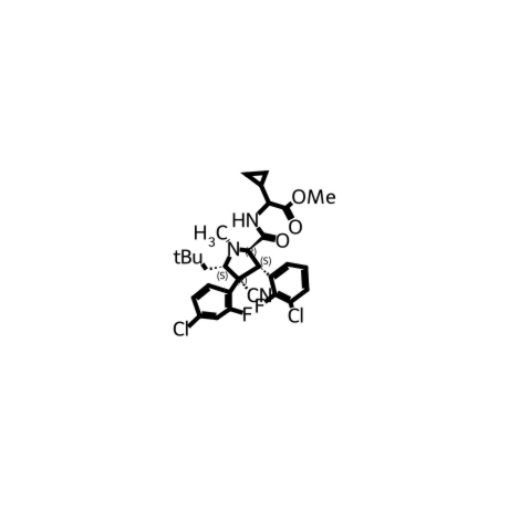 COC(=O)C(NC(=O)[C@H]1[C@H](c2cccc(Cl)c2F)[C@@](C#N)(c2ccc(Cl)cc2F)[C@H](CC(C)(C)C)N1C)C1CC1